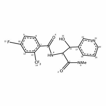 CNC(=O)C(NC(=O)c1ccc(F)cc1C(F)(F)F)C(O)c1cccnc1